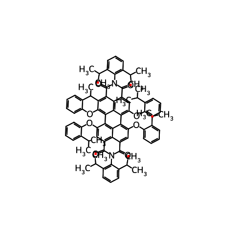 CC(C)c1ccccc1Oc1cc2c3c(cc(Oc4ccccc4C(C)C)c4c5c6c(c7c8c(cc(Oc9ccccc9C(C)C)c(c1c34)c85)C(=O)N(c1c(C(C)C)cccc1C(C)C)C7=O)C(C)c1ccccc1O6)C(=O)N(c1c(C(C)C)cccc1C(C)C)C2=O